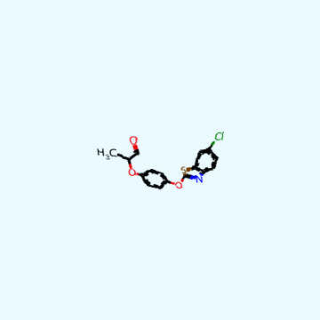 CC(C=O)Oc1ccc(Oc2nc3ccc(Cl)cc3s2)cc1